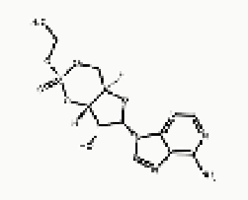 CCO[P@@]1(=O)OC[C@H]2O[C@@H](n3cnc4c(N)ncnc43)[C@H](O)[C@@H]2O1